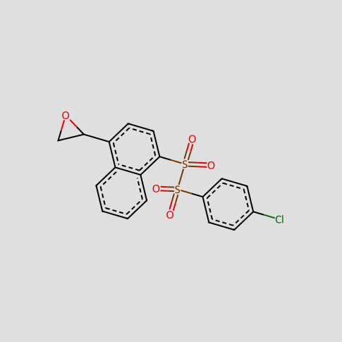 O=S(=O)(c1ccc(Cl)cc1)S(=O)(=O)c1ccc(C2CO2)c2ccccc12